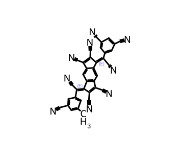 Cc1cc(C#N)cc(/C(C#N)=C2\C(C#N)=C(C#N)c3cc4c(cc32)C(C#N)=C(C#N)/C4=C(/C#N)c2cc(C#N)cc(C#N)c2)c1